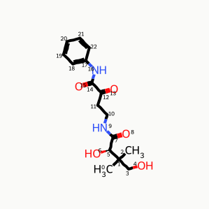 CC(C)(CO)[C@@H](O)C(=O)NCCC(=O)C(=O)Nc1ccccc1